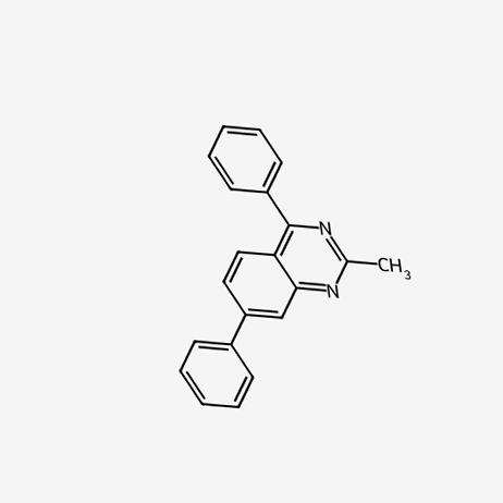 Cc1nc(-c2ccccc2)c2ccc(-c3ccccc3)cc2n1